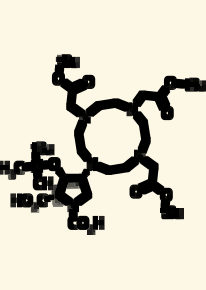 CC(C)(C)OC(=O)CN1CCN(CC(=O)OC(C)(C)C)CCN([C@@H]2CN(C(=O)O)[C@H](C(=O)O)[C@H]2O[Si](C)(C)C(C)(C)C)CCN(CC(=O)OC(C)(C)C)CC1